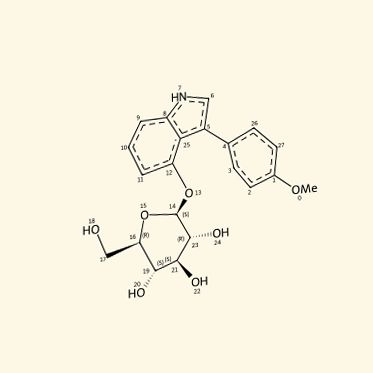 COc1ccc(-c2c[nH]c3cccc(O[C@@H]4O[C@H](CO)[C@@H](O)[C@H](O)[C@H]4O)c23)cc1